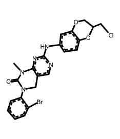 CN1C(=O)N(c2ccccc2Br)Cc2cnc(Nc3ccc4c(c3)OCC(CCl)O4)nc21